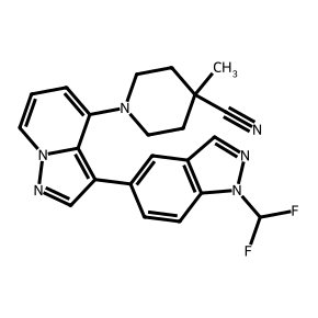 CC1(C#N)CCN(c2cccn3ncc(-c4ccc5c(cnn5C(F)F)c4)c23)CC1